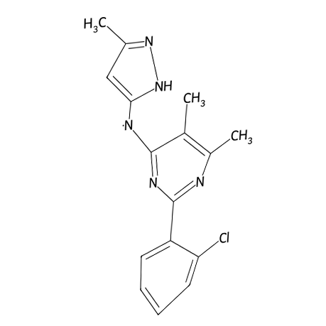 Cc1cc([N]c2nc(-c3ccccc3Cl)nc(C)c2C)[nH]n1